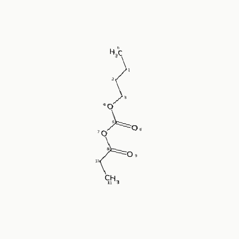 CCCCOC(=O)OC(=O)CC